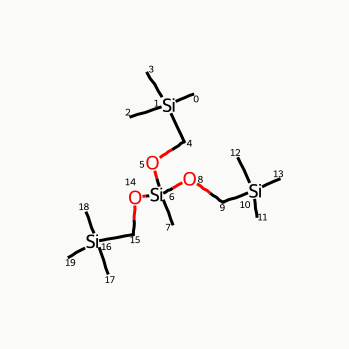 C[Si](C)(C)CO[Si](C)(OC[Si](C)(C)C)OC[Si](C)(C)C